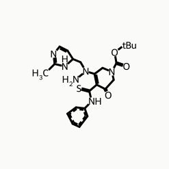 CC1=NC=CC(CN(N)C2=C(C(=S)Nc3ccccc3)C(=O)CN(C(=O)OC(C)(C)C)C2)N1